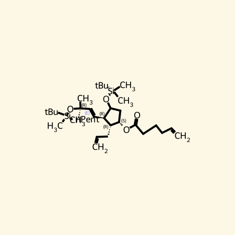 C=CCCCC(=O)O[C@H]1CC(O[Si](C)(C)C(C)(C)C)[C@H](/C=C/[C@@](C)(CCCCC)O[Si](C)(C)C(C)(C)C)[C@H]1CC=C